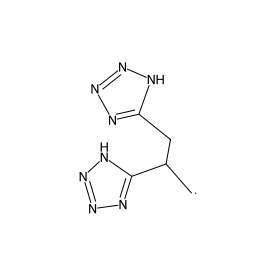 [CH2]C(Cc1nnn[nH]1)c1nnn[nH]1